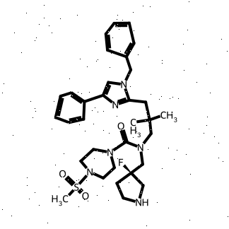 CC(C)(Cc1nc(-c2ccccc2)cn1Cc1ccccc1)CN(C[C@@]1(F)CCNC1)C(=O)N1CCN(S(C)(=O)=O)CC1